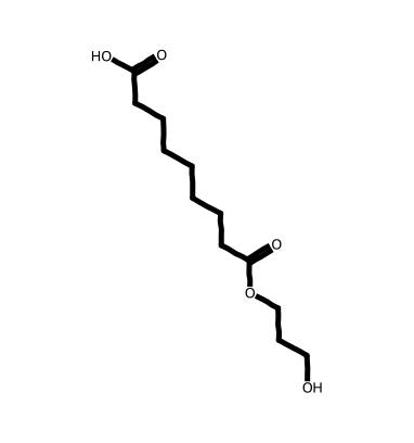 O=C(O)CCCCCCCC(=O)OCCCO